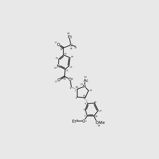 CCOc1cc([C@@H]2C[C@H](COC(=O)c3ccc(C(=O)N(C)CC)cn3)N(C(C)=O)C2)ccc1OC